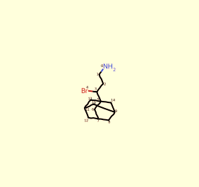 NCCC(Br)C12CC3CC(CC(C3)C1)C2